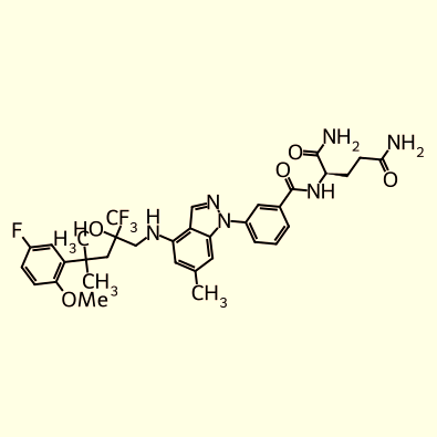 COc1ccc(F)cc1C(C)(C)CC(O)(CNc1cc(C)cc2c1cnn2-c1cccc(C(=O)N[C@H](CCC(N)=O)C(N)=O)c1)C(F)(F)F